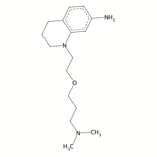 CN(C)CCCOCCN1CCCc2ccc(N)cc21